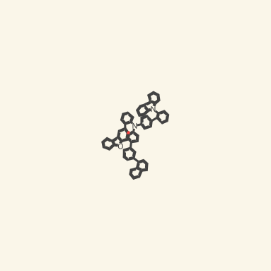 c1cc(-c2ccc(N(c3ccc(-c4ccccc4-n4c5ccccc5c5ccccc54)cc3)c3ccccc3-c3ccc4oc5ccccc5c4c3)cc2)cc(-c2cccc3ccccc23)c1